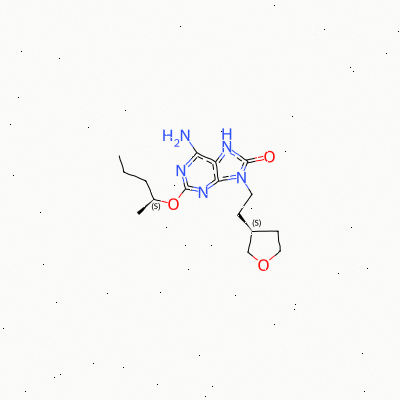 CCC[C@H](C)Oc1nc(N)c2[nH]c(=O)n(CC[C@H]3CCOC3)c2n1